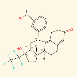 CC(O)c1cccc([C@H]2C[C@@]3(C)[C@@H](CC[C@@]3(O)C(F)(F)C(F)(F)F)[C@@H]3CCC4=CC(=O)CCC4=C32)c1